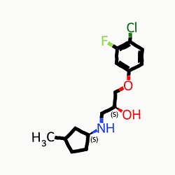 CC1CC[C@H](NC[C@H](O)COc2ccc(Cl)c(F)c2)C1